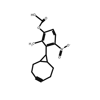 Cc1c(OC(=O)O)ccc([N+](=O)[O-])c1C1C2CCC#CCCC21